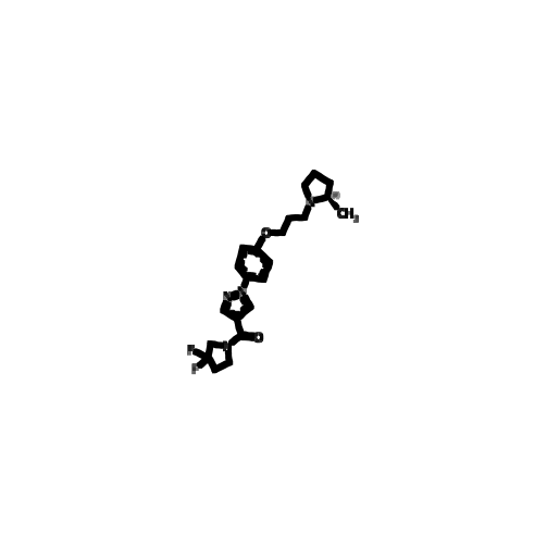 C[C@@H]1CCCN1CCCOc1ccc(-n2cc(C(=O)N3CCC(F)(F)C3)cn2)cc1